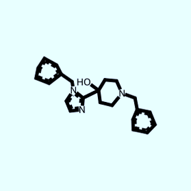 OC1(c2nccn2Cc2ccccc2)CCN(Cc2ccccc2)CC1